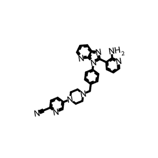 N#Cc1ccc(N2CCN(Cc3ccc(-n4c(-c5cccnc5N)nc5cccnc54)cc3)CC2)cn1